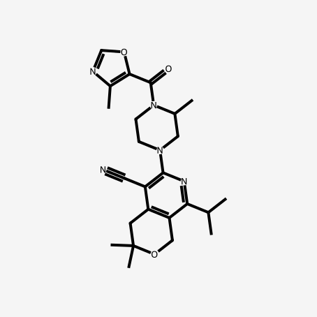 Cc1ncoc1C(=O)N1CCN(c2nc(C(C)C)c3c(c2C#N)CC(C)(C)OC3)CC1C